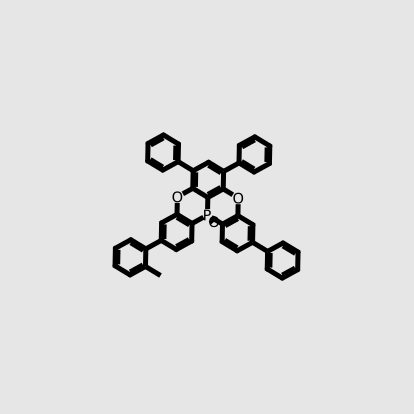 Cc1ccccc1-c1ccc2c(c1)Oc1c(-c3ccccc3)cc(-c3ccccc3)c3c1P2(=O)c1ccc(-c2ccccc2)cc1O3